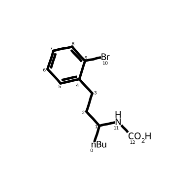 CCCCC(CCc1ccccc1Br)NC(=O)O